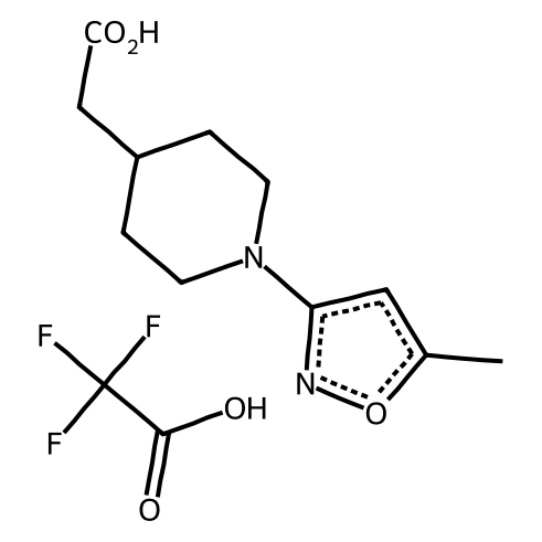 Cc1cc(N2CCC(CC(=O)O)CC2)no1.O=C(O)C(F)(F)F